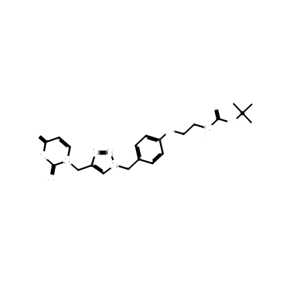 CC(C)(C)OC(=O)NCCOc1ccc(Cn2cc(Cn3ccc(=O)[nH]c3=O)nn2)cc1